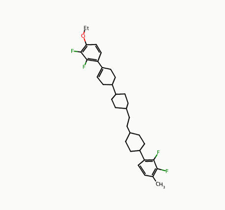 CCOc1ccc(C2=CCC(C3CCC(CCC4CCC(c5ccc(C)c(F)c5F)CC4)CC3)CC2)c(F)c1F